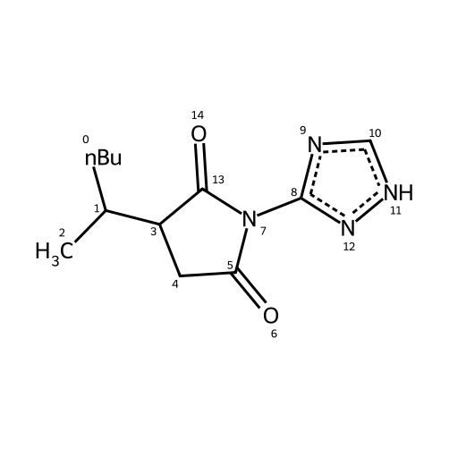 CCCCC(C)C1CC(=O)N(c2nc[nH]n2)C1=O